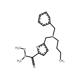 CCCCN(Cc1ccccc1)Cc1ccc(C(=O)N(C)OC)o1